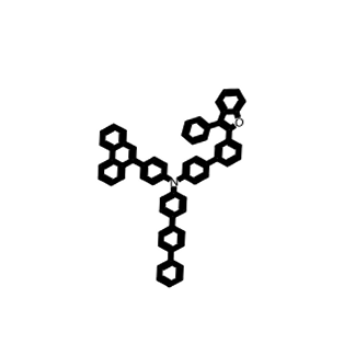 c1ccc(-c2ccc(-c3ccc(N(c4ccc(-c5cccc(-c6oc7ccccc7c6-c6ccccc6)c5)cc4)c4ccc(-c5cc6ccccc6c6ccccc56)cc4)cc3)cc2)cc1